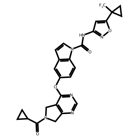 O=C(C1CC1)N1Cc2ncnc(Oc3ccc4c(ccn4C(=O)Nc4cc(C5(C(F)(F)F)CC5)on4)c3)c2C1